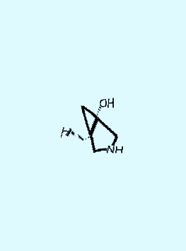 O[C@]12CNC[C@H]1C2